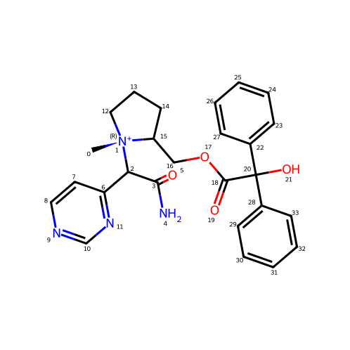 C[N@@+]1(C(C(N)=O)c2ccncn2)CCCC1COC(=O)C(O)(c1ccccc1)c1ccccc1